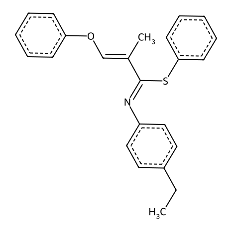 CCc1ccc(N=C(Sc2ccccc2)C(C)=COc2ccccc2)cc1